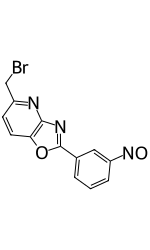 O=Nc1cccc(-c2nc3nc(CBr)ccc3o2)c1